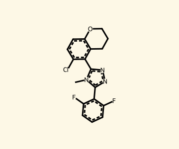 Cn1c(-c2c(F)cccc2F)nnc1-c1c(Cl)ccc2c1CCCO2